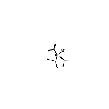 CN(C)[PH](Br)(N(C)C)N(C)C